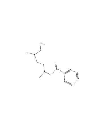 CCC(CCC(C)OC(=O)c1ccccc1)COC